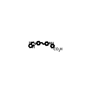 O=C(O)c1ccc(Nc2ccc(CCc3ccc(N4CC[C@@H]5CCCC[C@H]5C4)cc3)cc2)cc1